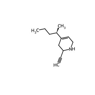 C#CC1CC([C@H](C)CCC)=CCN1